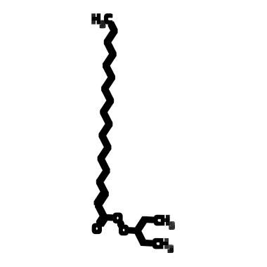 CCCCCCCCCCCCCCCC=CC(=O)OOC(CC)CC